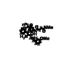 CCCC(CCC)S(=O)(=O)CC(NC(=O)CCC(=O)NC)C(=O)O[C@H](CNCc1cccc(OC)c1)[C@@H](N)Cc1ccccc1